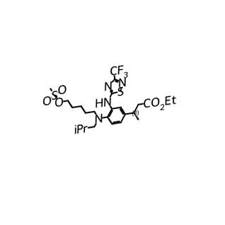 CCOC(=O)C[C@@H](C)c1ccc(N(CCCCCOS(C)(=O)=O)CC(C)C)c(Nc2nc(C(F)(F)F)ns2)c1